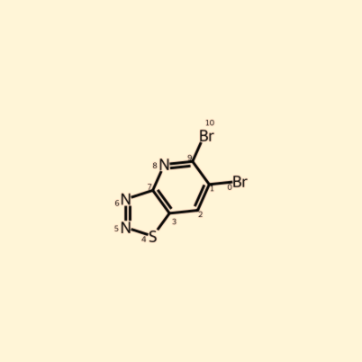 Brc1cc2snnc2nc1Br